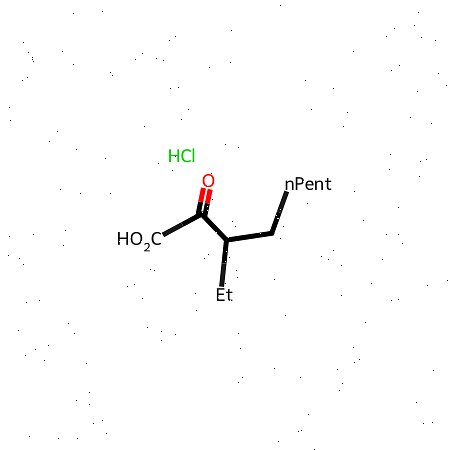 CCCCCCC(CC)C(=O)C(=O)O.Cl